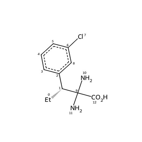 CC[C@H](c1cccc(Cl)c1)C(N)(N)C(=O)O